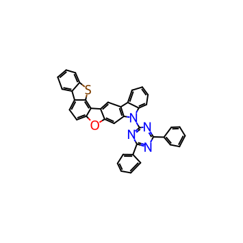 c1ccc(-c2nc(-c3ccccc3)nc(-n3c4ccccc4c4cc5c(cc43)oc3ccc4c6ccccc6sc4c35)n2)cc1